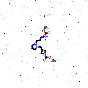 CC(C)(C)OC(=O)NCCCn1ccc[n+]1CC1CN(C(=O)OC(C)(C)C)C1